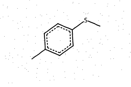 CSc1ccc(C)cc1